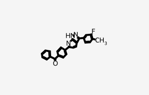 Cc1ccc(-c2n[nH]c3nc(-c4ccc(C(=O)c5ccccc5)cc4)ccc23)cc1F